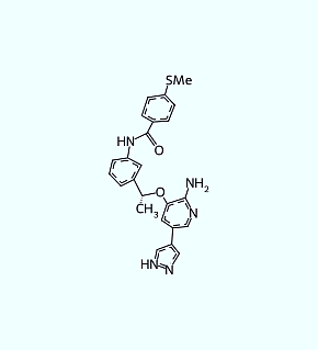 CSc1ccc(C(=O)Nc2cccc([C@@H](C)Oc3cc(-c4cn[nH]c4)cnc3N)c2)cc1